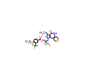 CCc1nn(C[C@@H](C)COC(=O)c2ccc(OC)c(C(F)(F)F)c2)c2c1C(=O)NCC1(CCOCC1)C2